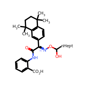 CCCCCCCC(O)O/N=C(/C(=O)Nc1ccccc1C(=O)O)c1ccc2c(c1)C(C)(C)CCC2(C)C